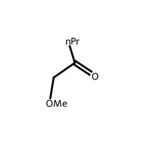 CCCC(=O)COC